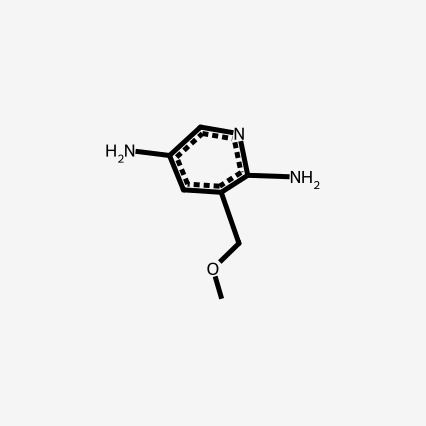 COCc1cc(N)cnc1N